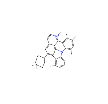 Cc1cc(C)c2c(c1C)c1c3c(cc[n+]1C)cc(C1CCC(C)(C)CC1)c1c4c(C)cccc4n2c13